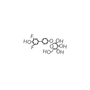 OC[C@H]1OC(Oc2ccc(-c3cc(F)c(O)c(F)c3)cc2)[C@@H](O)[C@@H](O)[C@@H]1O